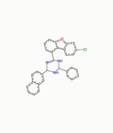 Clc1ccc2c(c1)oc1cccc(C3=NC(c4ccc5ccccc5c4)NC(c4ccccc4)N3)c12